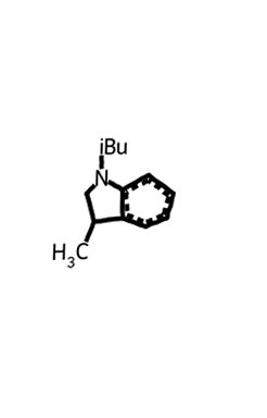 CCC(C)N1CC(C)c2ccccc21